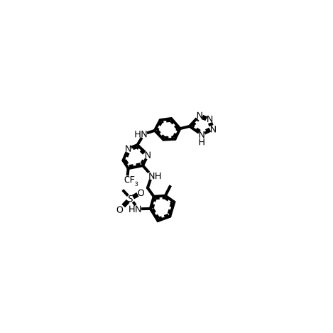 Cc1cccc(NS(C)(=O)=O)c1CNc1nc(Nc2ccc(-c3nnn[nH]3)cc2)ncc1C(F)(F)F